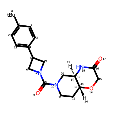 CC(C)(C)c1ccc(C2CN(C(=O)N3CC[C@H]4OCC(=O)N[C@@H]4C3)C2)cc1